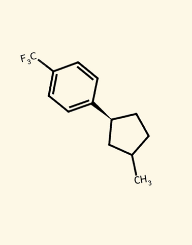 CC1CC[C@H](c2ccc(C(F)(F)F)cc2)C1